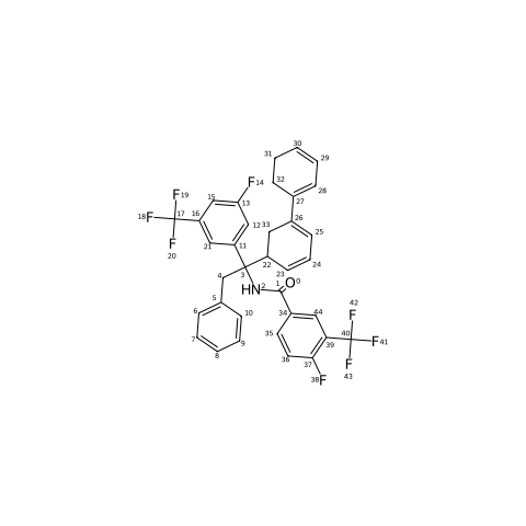 O=C(NC(Cc1ccccc1)(c1cc(F)cc(C(F)(F)F)c1)C1C=CC=C(C2=CC=CCC2)C1)c1ccc(F)c(C(F)(F)F)c1